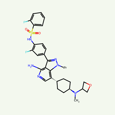 CC(C)n1nc(-c2ccc(NS(=O)(=O)c3ccccc3F)c(F)c2)c2c(N)ncc([C@H]3CC[C@H](N(C)C4COC4)CC3)c21